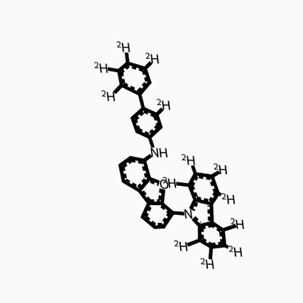 [2H]c1cc(Nc2cccc3c2oc2c(-n4c5c([2H])c([2H])c([2H])c([2H])c5c5c([2H])c([2H])c([2H])c([2H])c54)cccc23)ccc1-c1cc([2H])c([2H])c([2H])c1[2H]